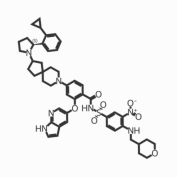 O=C(NS(=O)(=O)c1ccc(NCC2CCOCC2)c([N+](=O)[O-])c1)c1ccc(N2CCC3(CCC(N4CCC[C@H]4c4ccccc4C4CC4)C3)CC2)cc1Oc1cnc2[nH]ccc2c1